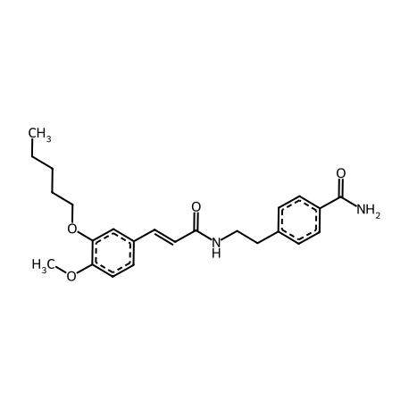 CCCCCOc1cc(C=CC(=O)NCCc2ccc(C(N)=O)cc2)ccc1OC